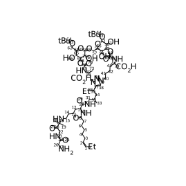 CC/C=C\CCCCCC(=O)N[C@@H](CCCCNC(C)(C)C(=O)CNC(=O)CN)C(=O)NCC(C)CC(CC)c1cn(CCCC[C@H](NC(=O)OC2C(O)[C@@H](OC(C)(C)C)OC(CO[C@@H]3OC(COC(C)(C)C)[C@@H](O)C(OC(=O)N[C@@H](C)C(=O)O)C3O)[C@H]2O)C(=O)O)nn1